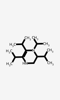 CC(C)C1=C(C(C)C)N(C(C)C)C(C(C)C)CN1